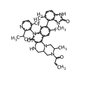 C=CC(=O)N1CC2CNc3c(c4cc(F)c(-c5c(C)ccc6[nH]c(=O)n(C)c56)c(F)c4n(-c4c(C)ccnc4C(C)C)c3=O)N2CC1C